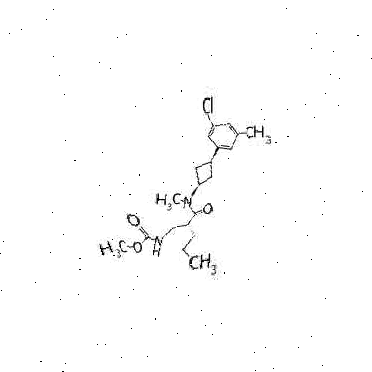 CCC[C@H](CNC(=O)OC)C(=O)N(C)[C@H]1C[C@@H](c2cc(C)cc(Cl)c2)C1